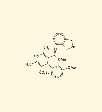 CCOC(=O)C1=C(C)NC(C)=C(C(=O)OC)C1c1cccc(OC)c1.c1ccc2c(c1)CNC2